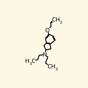 C=CCOc1ccc2c(c1)CC(N(CCC)CCC)C2